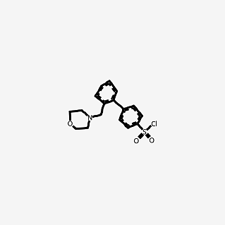 O=S(=O)(Cl)c1ccc(-c2ccccc2CN2CCOCC2)cc1